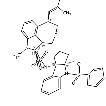 CC(C)=C[C@H]1CCC[C@]2(NS(=O)(=O)N[C@]34CCC[C@H]3N(S(=O)(=O)c3ccccc3)c3ccccc34)c3c1cccc3N(C)[C@@H]2C#N